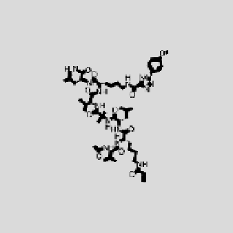 C=CC(=O)NCCCC[C@H](NC(=O)[C@@H](NC(C)=O)C(C)C)C(=O)N[C@@H](CC(C)C)C(=O)NC(C)(C)C(=O)N[C@H](C(=O)N[C@@H](CCCCNC(=O)c1nnn(-c2ccc(OC)cc2)n1)C(=O)N[C@@H](CC(C)C)C(N)=O)C(C)C